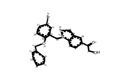 O=C(CO)c1ccc2c(cnn2Cc2cc(Br)ccc2OCc2ccccc2)c1